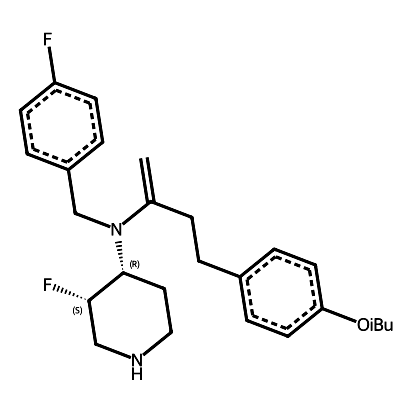 C=C(CCc1ccc(OCC(C)C)cc1)N(Cc1ccc(F)cc1)[C@@H]1CCNC[C@@H]1F